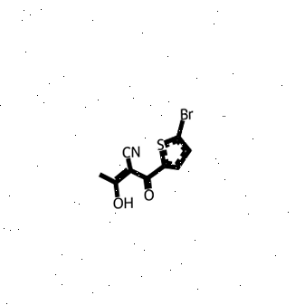 C/C(O)=C(\C#N)C(=O)c1ccc(Br)s1